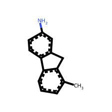 Cc1cccc2c1Cc1cc(N)ccc1-2